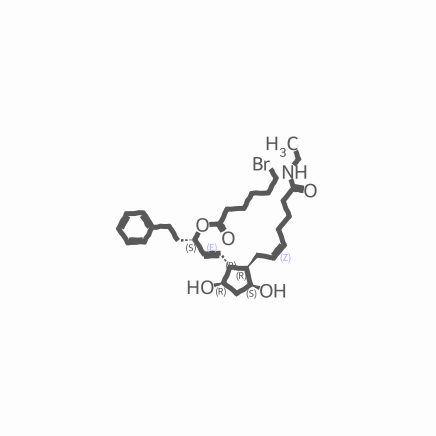 CCNC(=O)CCC/C=C\C[C@@H]1[C@@H](/C=C/[C@H](CCc2ccccc2)OC(=O)CCCCCBr)[C@H](O)C[C@@H]1O